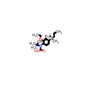 C=CC[Si](C)(C)c1ccc(N(C(=O)O)C(C)(C)C)c(OCC)c1